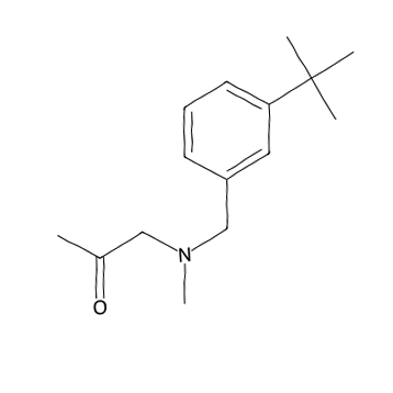 CC(=O)CN(C)Cc1cccc(C(C)(C)C)c1